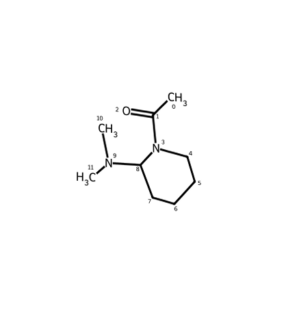 CC(=O)N1CCCCC1N(C)C